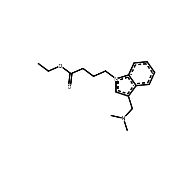 CCOC(=O)CCCn1cc(CN(C)C)c2ccccc21